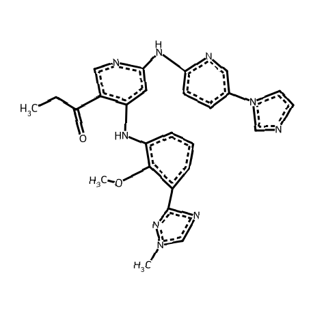 CCC(=O)c1cnc(Nc2ccc(-n3ccnc3)cn2)cc1Nc1cccc(-c2ncn(C)n2)c1OC